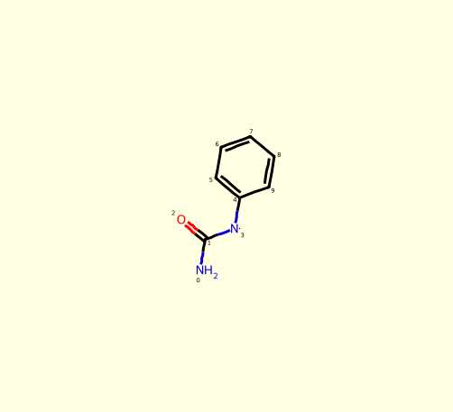 NC(=O)[N]c1ccccc1